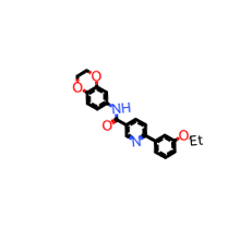 CCOc1cccc(-c2ccc(C(=O)Nc3ccc4c(c3)OCCO4)cn2)c1